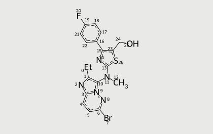 CCc1nc2ccc(Br)nn2c1N(C)c1nc(-c2ccc(F)cc2)c(CO)s1